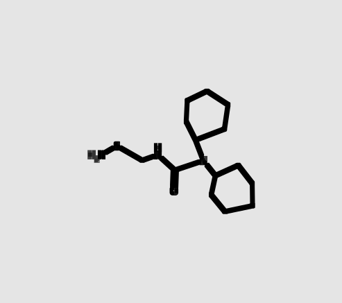 NSCNC(=O)N(C1CCCCC1)C1CCCCC1